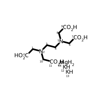 O=C(O)CN(CCN(CC(=O)O)CC(=O)O)CC(=O)O.[KH].[KH].[MgH2]